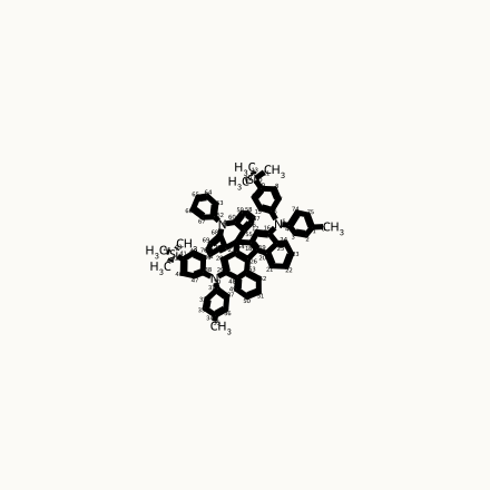 Cc1ccc(N(c2ccc([Si](C)(C)C)cc2)c2cc3c(c4ccccc24)-c2c(cc(N(c4ccc(C)cc4)c4ccc([Si](C)(C)C)cc4)c4ccccc24)C32c3ccccc3N(c3ccccc3)c3ccccc32)cc1